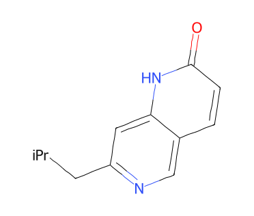 CC(C)Cc1cc2[nH]c(=O)ccc2cn1